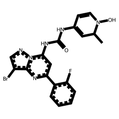 CC1C=C(NC(=O)Nc2cc(-c3ccccc3F)nc3c(Br)cnn23)C=CN1O